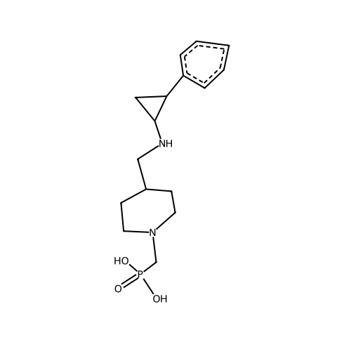 O=P(O)(O)CN1CCC(CNC2CC2c2ccccc2)CC1